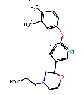 Cc1ccc(Oc2ccc(C3CN(CCC(=O)O)CCO3)cc2)cc1C.Cl